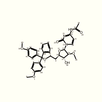 COc1ccc(C(OCC[C@H]2O[C@@H](n3ccc(NC(C)=O)nc3=O)[C@@H](OC)[C@@H]2O)(c2ccccc2)c2ccc(OC)cc2)cc1